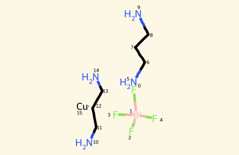 F[B-](F)(F)F.NCCCN.NCCCN.[Cu]